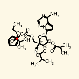 CCOC(=O)C(C)N[P@](=O)(OC[C@@]1(C#N)O[C@@H](c2ccc3c(N)ncnn23)[C@H](OC(=O)C(C)C)[C@@H]1OC(=O)C(C)C)Oc1ccccc1